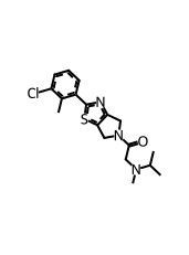 Cc1c(Cl)cccc1-c1nc2c(s1)CN(C(=O)CN(C)C(C)C)C2